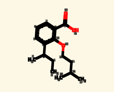 CCC(C)c1cccc(C(=O)O)c1OCCC(C)C